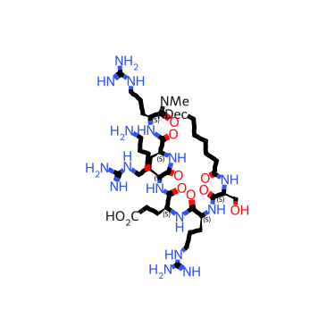 CCCCCCCCCCCCCCCC(=O)N[C@@H](CO)C(=O)N[C@@H](CCCNC(=N)N)C(=O)N[C@@H](CCC(=O)O)C(=O)N[C@@H](CCCCN)C(=O)N[C@@H](CCCNC(=N)N)C(=O)N[C@@H](CCCNC(=N)N)C(=O)NC